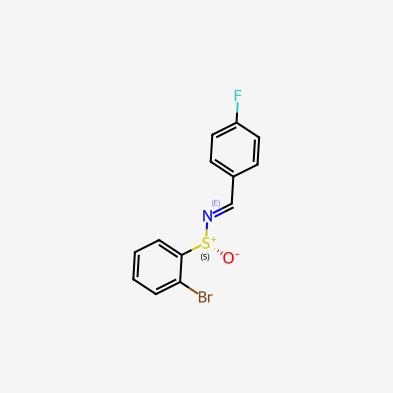 [O-][S@@+](/N=C/c1ccc(F)cc1)c1ccccc1Br